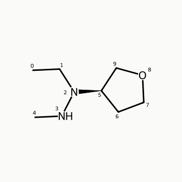 CCN(NC)[C@@H]1CCOC1